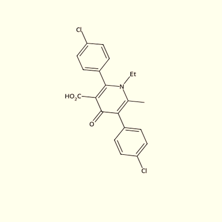 CCn1c(C)c(-c2ccc(Cl)cc2)c(=O)c(C(=O)O)c1-c1ccc(Cl)cc1